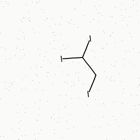 ICC(I)I